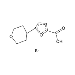 O=C(O)c1ccc(C2CCOCC2)o1.[K]